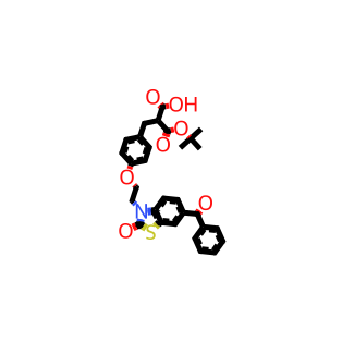 CC(C)(C)OC(=O)C(Cc1ccc(OCCn2c(=O)sc3cc(C(=O)c4ccccc4)ccc32)cc1)C(=O)O